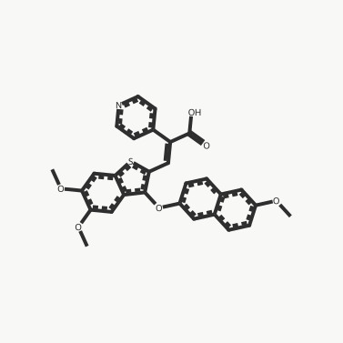 COc1ccc2cc(Oc3c(/C=C(/C(=O)O)c4ccncc4)sc4cc(OC)c(OC)cc34)ccc2c1